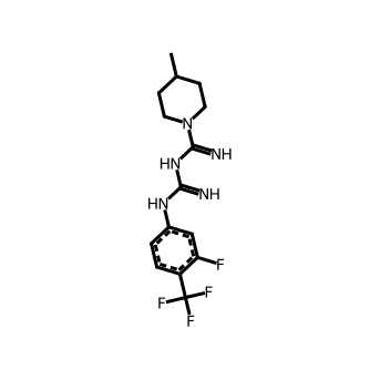 CC1CCN(C(=N)NC(=N)Nc2ccc(C(F)(F)F)c(F)c2)CC1